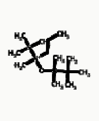 [CH2][N+](CCC)(O[Si](C)(C)C(C)(C)C)[Si](C)(C)C